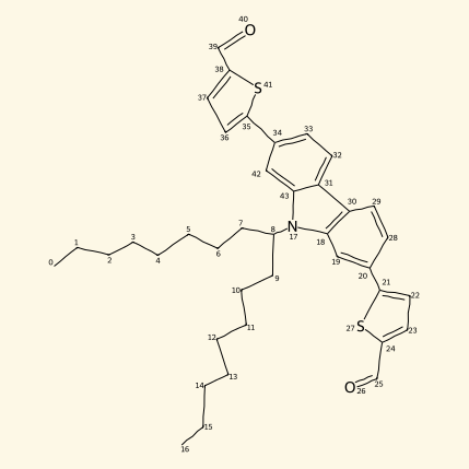 CCCCCCCCC(CCCCCCCC)n1c2cc(-c3ccc(C=O)s3)ccc2c2ccc(-c3ccc(C=O)s3)cc21